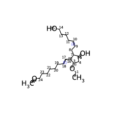 CCO[C@H]1C[C@@H](O)C(C/C=C\CCCCO)[C@@H]1/C=C/CCCCCCOC